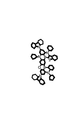 c1ccc(N2c3ccccc3B3c4cc5c(cc4Oc4cc(-n6c7c(c8ccccc86)CCCC7)cc2c43)N(c2ccccc2)c2cc(-n3c4c(c6ccccc63)CCCC4)cc3c2B5c2sc4ccccc4c2N3c2ccccc2)cc1